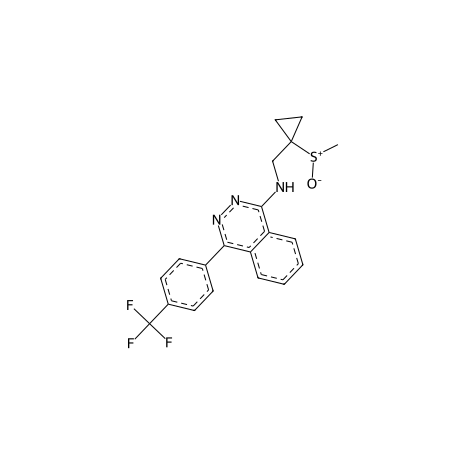 C[S+]([O-])C1(CNc2nnc(-c3ccc(C(F)(F)F)cc3)c3ccccc23)CC1